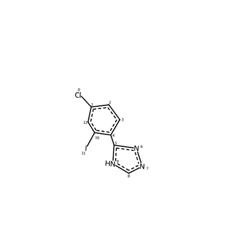 Clc1ccc(-c2nnc[nH]2)c(I)c1